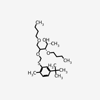 CCCCOCC(OCSc1cc(C(C)(C)C)ccc1C)[C@@H](OCCCC)[C@@H](C)O